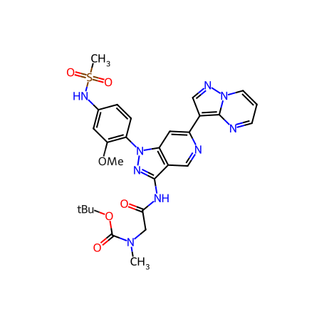 COc1cc(NS(C)(=O)=O)ccc1-n1nc(NC(=O)CN(C)C(=O)OC(C)(C)C)c2cnc(-c3cnn4cccnc34)cc21